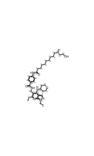 CCc1nc2c(cnn2CC)c(NC2CCOCC2)c1CNC(=O)c1ccc(NC(=O)CCCCCCCCCN(C)CCO)cc1